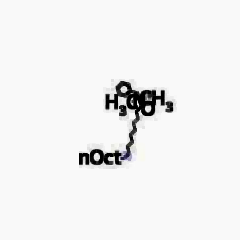 CCCCCCCC/C=C\CCCCCCCC(=O)[N+](C)(C)Cc1ccccc1